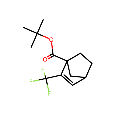 CC(C)(C)OC(=O)C12CCC(C=C1C(F)(F)F)C2